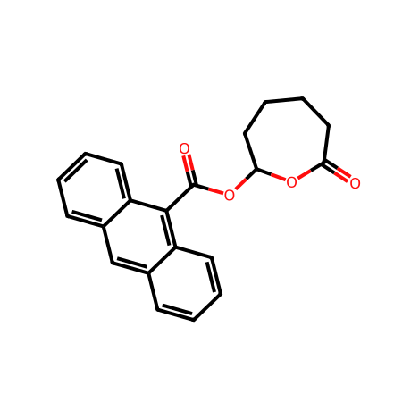 O=C1CCCCC(OC(=O)c2c3ccccc3cc3ccccc23)O1